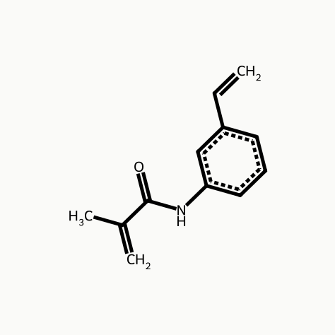 C=Cc1cccc(NC(=O)C(=C)C)c1